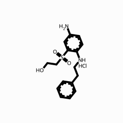 Cl.Nc1ccc(NCCc2ccccc2)c(S(=O)(=O)CCO)c1